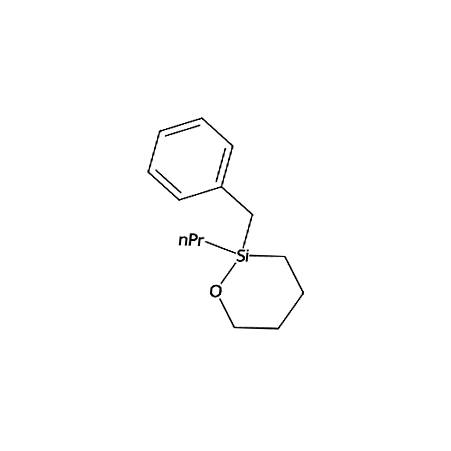 CCC[Si]1(Cc2ccccc2)CCCCO1